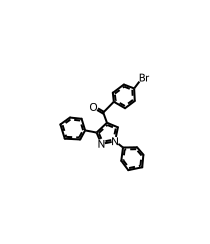 O=C(c1ccc(Br)cc1)c1cn(-c2ccccc2)nc1-c1ccccc1